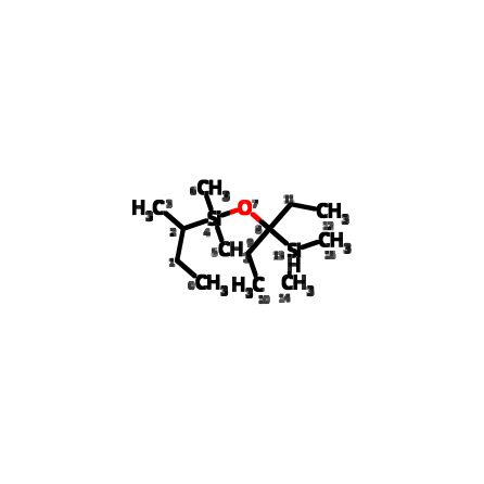 CCC(C)[Si](C)(C)OC(CC)(CC)[SiH](C)C